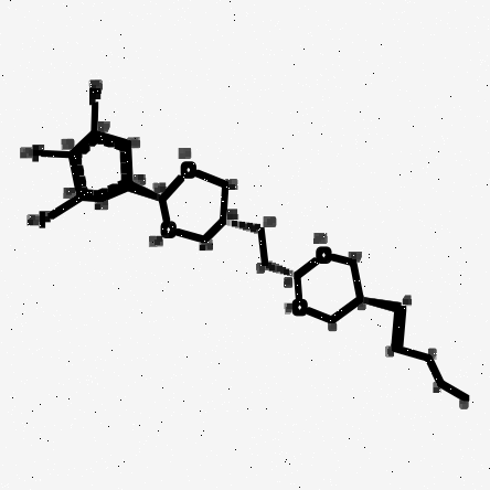 CCCC=C[C@H]1CO[C@H](CC[C@H]2CO[C@H](c3cc(F)c(F)c(F)c3)OC2)OC1